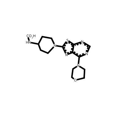 O=C(O)NC1CCN(c2nc3c(N4CCOCC4)ncnc3s2)CC1